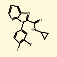 O=C(NC1CC1)c1nc2cccnc2n1-c1ccc(F)c(F)c1